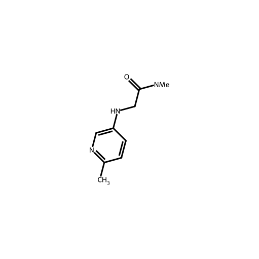 CNC(=O)CNc1ccc(C)nc1